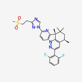 C[C@@H]1CC(C)(C)[C@@](C)(c2cccc(-n3cnc(CCS(C)(=O)=O)n3)n2)c2nnc(-c3c(F)cccc3F)cc21